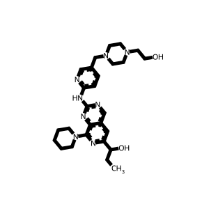 CCC(O)c1cc2cnc(Nc3ccc(CN4CCN(CCO)CC4)cn3)nc2c(N2CCCCC2)n1